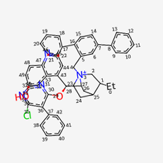 CCC1C[N+]2(Cc3cc(-c4ccccc4)ccc3-c3ccccc3)CCC1CC2[C@@H](Oc1ncnc(Cl)c1-c1ccccc1)c1ccnc2ccc(O)cc12